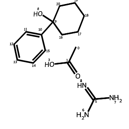 CC(=O)O.N=C(N)N.OC1(c2ccccc2)CCCCC1